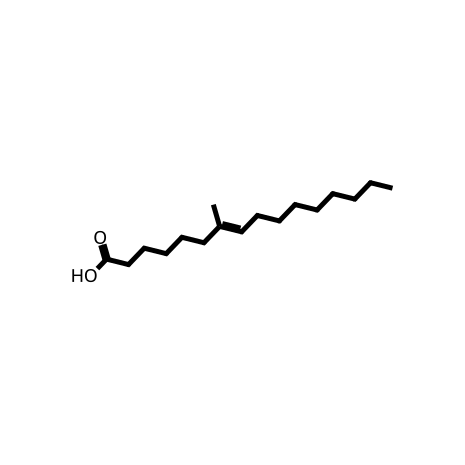 CCCCCCCC/C=C(\C)CCCCCC(=O)O